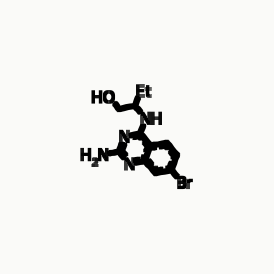 CCC(CO)Nc1nc(N)nc2cc(Br)ccc12